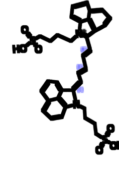 O=S(=O)(O)CCCCn1/c(=C/C=C/C=C/C2=[N+](CCCCS(=O)(=O)O)c3cccc4cccc2c34)c2cccc3cccc1c32